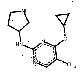 Cc1cnc(NC2CCNC2)nc1OC1CC1